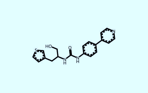 O=C(Nc1ccc(-c2ccncc2)cc1)NC(CO)Cc1ccsc1